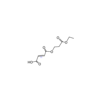 CCOC(=O)CCOC(=O)/C=C/C(=O)O